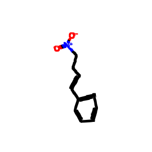 O=[N+]([O-])CCC=Cc1ccccc1